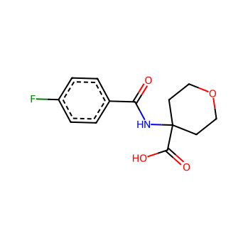 O=C(NC1(C(=O)O)CCOCC1)c1ccc(F)cc1